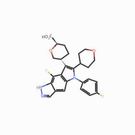 O=C(O)[C@H]1CC[C@H](c2c(C3CCOCC3)n(-c3ccc(F)cc3)c3cc4cn[nH]c4c(F)c23)CO1